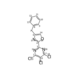 Clc1nc(-c2nc(Cc3ccccc3)co2)nc(Cl)c1Cl